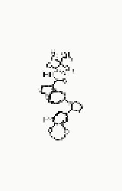 CC(C)(C)S(=O)(=O)NC(=O)c1cnn2ccc(N3CCCC3c3cc(F)c4c(c3)OCCCO4)cc12